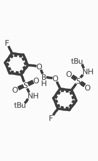 CC(C)(C)NS(=O)(=O)c1ccc(F)cc1OBOc1cc(F)ccc1S(=O)(=O)NC(C)(C)C